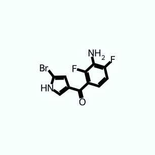 Nc1c(F)ccc(C(=O)c2c[nH]c(Br)c2)c1F